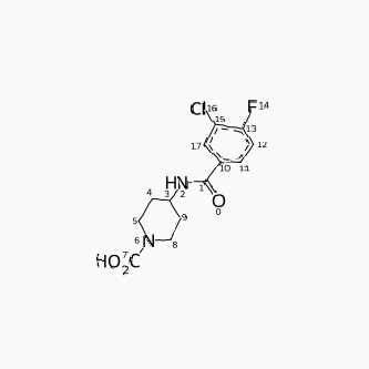 O=C(NC1CCN(C(=O)O)CC1)c1ccc(F)c(Cl)c1